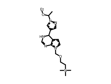 CCOC(C)n1cc(C2NC=Nc3c2ccn3COCC[Si](C)(C)C)cn1